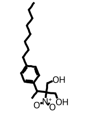 CCCCCCCCc1ccc(C(C)C(CO)(CO)[N+](=O)[O-])cc1